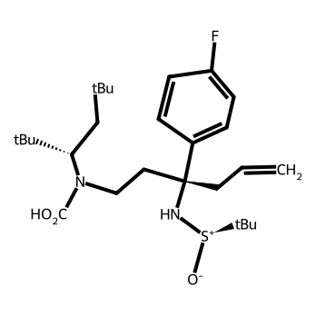 C=CC[C@](CCN(C(=O)O)[C@@H](CC(C)(C)C)C(C)(C)C)(N[S@+]([O-])C(C)(C)C)c1ccc(F)cc1